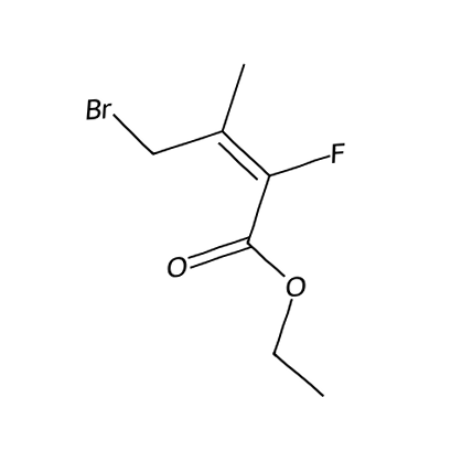 CCOC(=O)C(F)=C(C)CBr